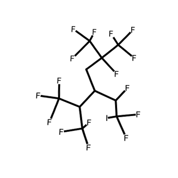 FC(C(CC(F)(C(F)(F)F)C(F)(F)F)C(C(F)(F)F)C(F)(F)F)C(F)(F)I